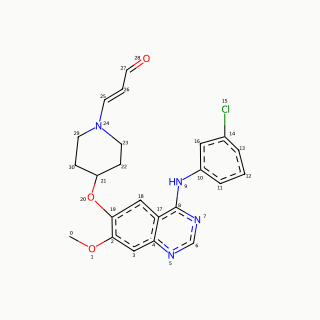 COc1cc2ncnc(Nc3cccc(Cl)c3)c2cc1OC1CCN(C=CC=O)CC1